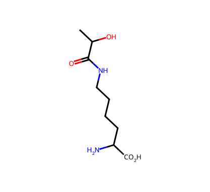 CC(O)C(=O)NCCCCC(N)C(=O)O